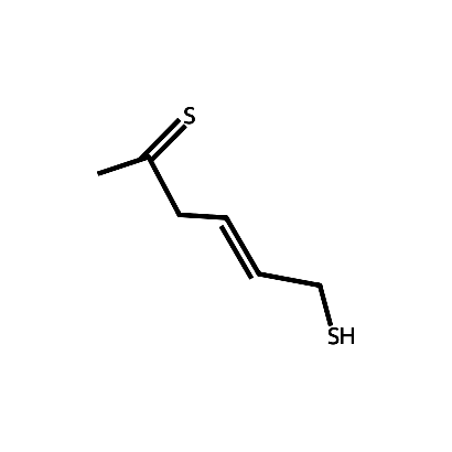 CC(=S)CC=CCS